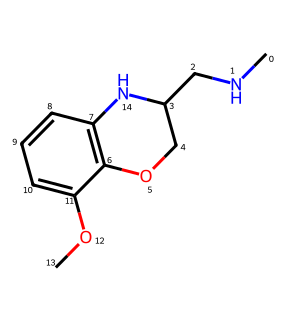 CNCC1COc2c(cccc2OC)N1